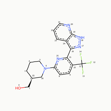 OC[C@H]1CCCN(c2ccc(C(F)(F)F)c(-c3n[nH]c4ncccc34)n2)C1